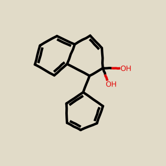 OC1(O)C=Cc2ccccc2C1c1ccccc1